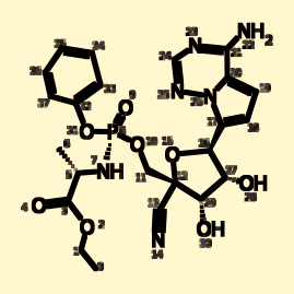 CCOC(=O)[C@H](C)N[P@](=O)(OC[C@@]1(C#N)O[C@@H](c2ccc3c(N)ncnn23)[C@H](O)[C@@H]1O)Oc1ccccc1